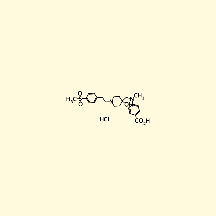 CN(CC1(O)CCN(CCc2ccc(S(C)(=O)=O)cc2)CC1)c1ccc(C(=O)O)cc1.Cl